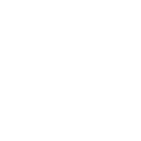 CCCCCCCC(CCCCCCC)N1/C=C\CC(C)CCN1C